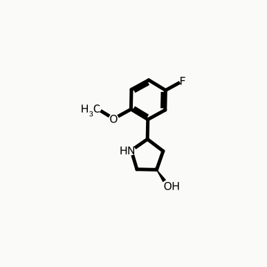 COc1ccc(F)cc1C1C[C@@H](O)CN1